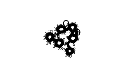 c1ccc(Cc2ccc3oc4ccc5oc6ccc(-n7c8ccccc8c8ccccc87)cc6c5c4c3c2)cc1